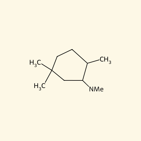 CNC1CC(C)(C)CCC1C